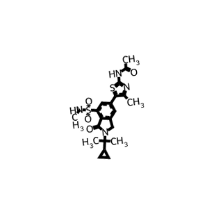 CNS(=O)(=O)c1cc(-c2sc(NC(C)=O)nc2C)cc2c1C(=O)N(C(C)(C)C1CC1)C2